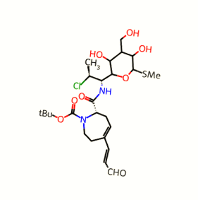 CSC1OC([C@H](NC(=O)[C@@H]2CC=C(/C=C/C=O)CCN2C(=O)OC(C)(C)C)[C@H](C)Cl)C(O)C(CO)C1O